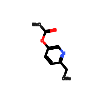 COCc1ccc(OC(=O)OC)cn1